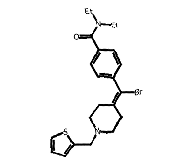 CCN(CC)C(=O)c1ccc(C(Br)=C2CCN(Cc3cccs3)CC2)cc1